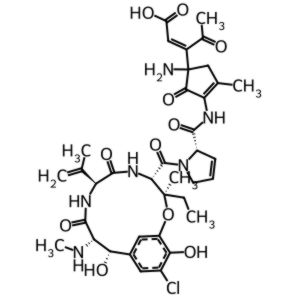 C=C(C)[C@@H]1NC(=O)[C@@H](NC)[C@@H](O)c2cc(Cl)c(O)c(c2)O[C@](C)(CC)[C@@H](C(=O)N2CC=C[C@H]2C(=O)NC2=C(C)CC(N)(/C(=C/C(=O)O)C(C)=O)C2=O)NC1=O